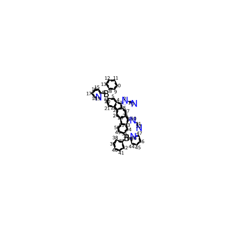 N#C/N=c1/c2cc(B(c3ccccc3)c3ccccn3)ccc2c2cc3c(cc12)/c(=N/C#N)c1cc(B(c2ccccc2)c2ccccn2)ccc13